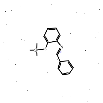 C[Si](C)(C)Sc1ccccc1/N=C/c1ccccc1